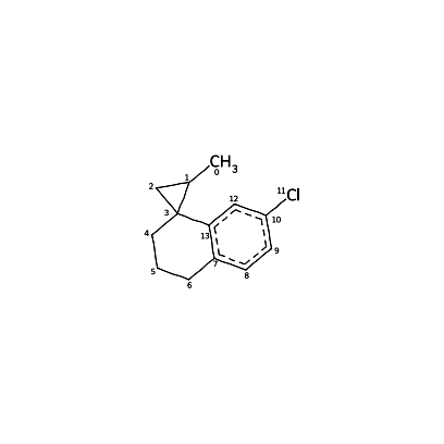 CC1CC12CCCc1ccc(Cl)cc12